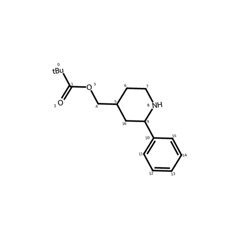 CC(C)(C)C(=O)OCC1CCNC(c2ccccc2)C1